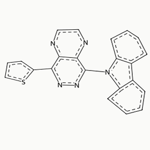 c1csc(-c2nnc(-n3c4ccccc4c4ccccc43)c3nccnc23)c1